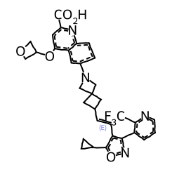 O=C(O)c1cc(OC2COC2)c2cc(N3CC4(CC(/C=C/c5c(-c6cccnc6C(F)(F)F)noc5C5CC5)C4)C3)ccc2n1